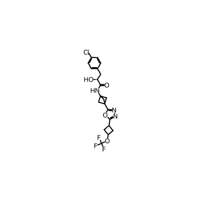 O=C(NC12CC(c3nnc(C4CC(OC(F)(F)F)C4)o3)(C1)C2)[C@@H](O)Cc1ccc(Cl)cc1